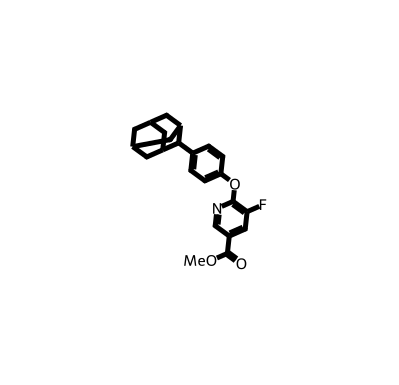 COC(=O)c1cnc(Oc2ccc(C3C4CC5CC(C4)CC3C5)cc2)c(F)c1